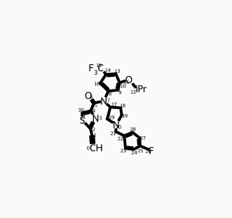 C#Cc1nc(C(=O)N(c2cc(OC(C)C)cc(C(F)(F)F)c2)C2CCN(Cc3ccc(F)cc3)C2)cs1